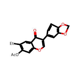 CCc1cc2c(=O)c(-c3ccc4c(c3)OCO4)coc2cc1OC(C)=O